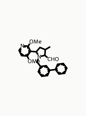 COc1ccnc(OC)c1C1CC(C)C(C=O)N1Cc1cccc(-c2ccccc2)c1